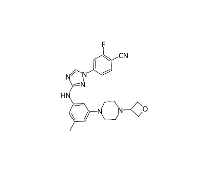 Cc1cc(Nc2ncn(-c3ccc(C#N)c(F)c3)n2)cc(N2CCN(C3COC3)CC2)c1